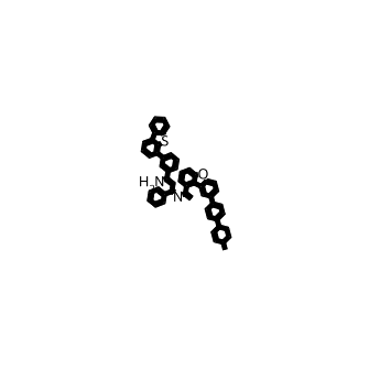 C=C(/N=C(\C=C(/N)c1cccc(-c2cccc3c2sc2ccccc23)c1)c1ccccc1)c1cccc2oc3ccc(-c4ccc(C5C=CC(C)CC5)cc4)cc3c12